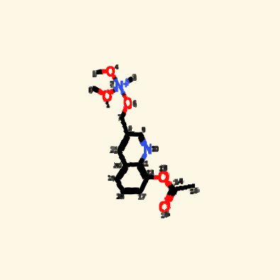 CO[N+](C)(OC)OCc1cnc2c(OC(C)=O)cccc2c1